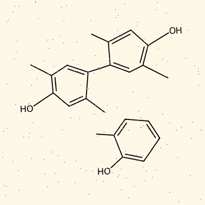 Cc1cc(-c2cc(C)c(O)cc2C)c(C)cc1O.Cc1ccccc1O